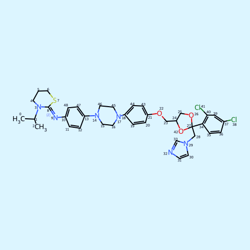 CC(C)N1CCCS/C1=N\c1ccc(N2CCN(c3ccc(OCC4COC(Cn5ccnc5)(c5ccc(Cl)cc5Cl)O4)cc3)CC2)cc1